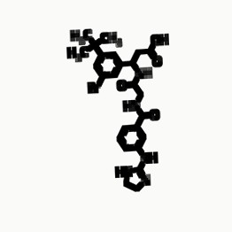 CC(C)(C)c1cc(Br)cc(C(CC(=O)O)NC(=O)CNC(=O)c2cccc(NC3=NCCN3)c2)c1